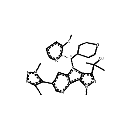 COc1cccnc1[C@H](C1CCOCC1)n1c2cc(-c3c(C)nnn3C)cnc2c2c1c(C(C)(C)O)nn2C